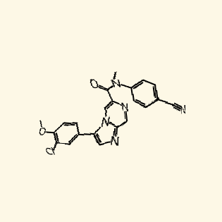 COc1ccc(-c2cnc3cnc(C(=O)N(C)c4ccc(C#N)cc4)cn23)cc1Cl